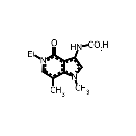 CCn1cc(C)c2c(c(NC(=O)O)cn2C)c1=O